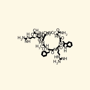 CC(=O)N[C@@H](CCCNC(=N)N)C(=O)N[C@@H]1C(=O)N[C@H](C)C(=O)N[C@H](Cc2ccccc2)C(=O)N[C@@H](CCCNC(=N)N)C(=O)N[C@@H](Cc2c[nH]c3ccccc23)C(=O)N[C@H](C(N)=O)CCSSC1(C)C